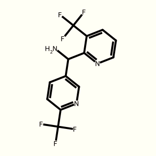 NC(c1ccc(C(F)(F)F)nc1)c1ncccc1C(F)(F)F